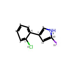 Clc1ccccc1-c1[c][nH]c(I)c1